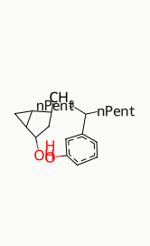 CC1CC(O)C2CC12.CCCCCC(CCCCC)c1cccc(O)c1